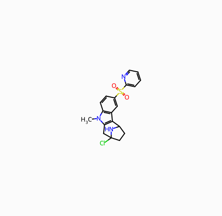 Cn1c2c(c3cc(S(=O)(=O)c4ccccn4)ccc31)C1CCC(Cl)(C2)N1